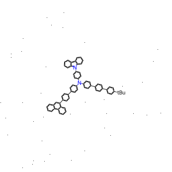 CC(C)(C)c1ccc(-c2ccc(-c3ccc(N(c4ccc(-c5ccc(-c6cc7ccccc7c7ccccc67)cc5)cc4)c4ccc(-n5c6ccccc6c6ccccc65)cc4)cc3)cc2)cc1